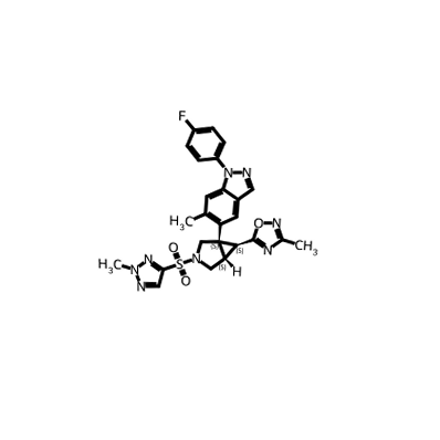 Cc1noc([C@H]2[C@@H]3CN(S(=O)(=O)c4cnn(C)n4)C[C@@]32c2cc3cnn(-c4ccc(F)cc4)c3cc2C)n1